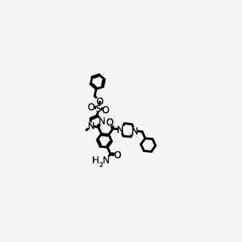 Cn1cc(S(=O)(=O)OCc2ccccc2)nc1-c1ccc(C(N)=O)cc1C(=O)N1CCN(CC2CCCCC2)CC1